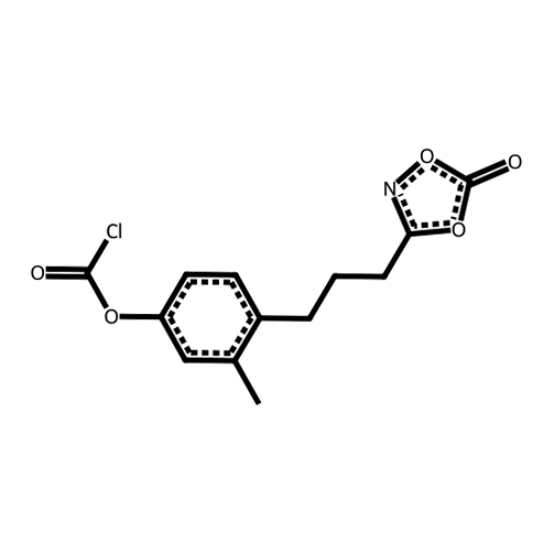 Cc1cc(OC(=O)Cl)ccc1CCCc1noc(=O)o1